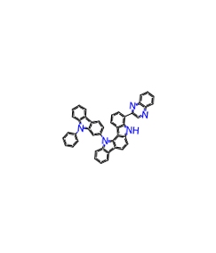 c1ccc(-n2c3ccccc3c3ccc(-n4c5ccccc5c5ccc6[nH]c7c(-c8cnc9ccccc9n8)cccc7c6c54)cc32)cc1